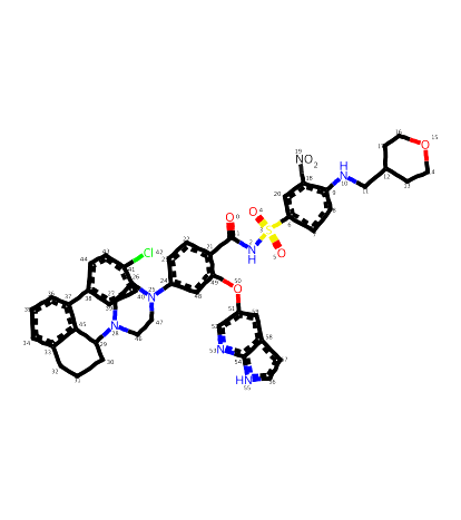 O=C(NS(=O)(=O)c1ccc(NCC2CCOCC2)c([N+](=O)[O-])c1)c1ccc(N2CCN(C3CCCc4cccc(-c5ccc(Cl)cc5)c43)CC2)cc1Oc1cnc2[nH]ccc2c1